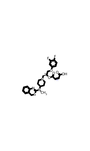 CN(C1=Nc2ccccc2CS1)C1CCN(C[C@@H](COc2ccc(F)c(F)c2)OC(=O)/C=C\C(=O)O)CC1